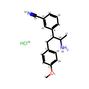 COc1ccc(CC(c2cccc(C#N)c2)C(C)N)cc1.Cl